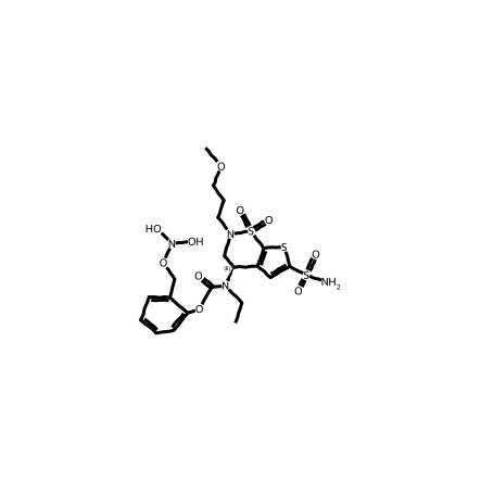 CCN(C(=O)Oc1ccccc1CON(O)O)[C@H]1CN(CCCOC)S(=O)(=O)c2sc(S(N)(=O)=O)cc21